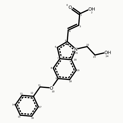 O=C(O)C=Cc1cc2cc(OCc3ccccc3)ccc2n1CCO